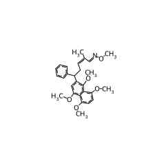 CON=CC(C)=CCC(c1ccccc1)c1cc(OC)c2c(OC)ccc(OC)c2c1OC